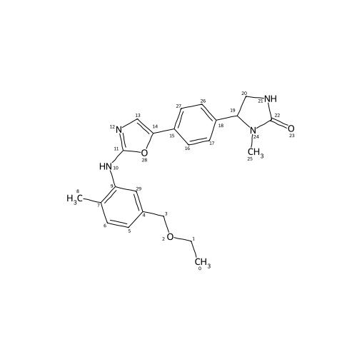 CCOCc1ccc(C)c(Nc2ncc(-c3ccc(C4CNC(=O)N4C)cc3)o2)c1